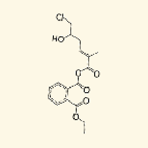 CCOC(=O)c1ccccc1C(=O)OC(=O)C(C)=CCC(O)CCl